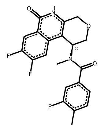 Cc1ccc(C(=O)N(C)[C@@H]2COCc3[nH]c(=O)c4cc(F)c(F)cc4c32)cc1F